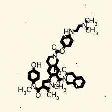 Cc1c(C(=O)N(C)c2ccc(O)cc2)cc(-c2cc3c(cc2C(=O)N2Cc4ccccc4C[C@H]2C)CN(C(=O)Oc2ccc(NCCN(C)C)cc2)CC3)n1C